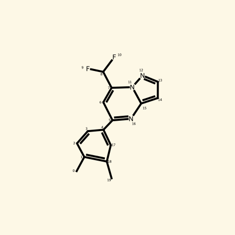 Cc1ccc(-c2cc(C(F)F)n3nccc3n2)cc1C